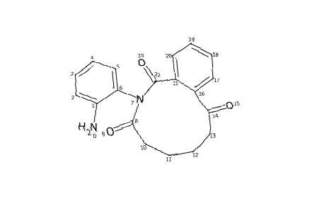 Nc1ccccc1N1C(=O)CCCCC(=O)c2ccccc2C1=O